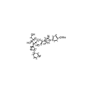 COc1ccc(N2C[C@@H]3C[C@H]2CN3C(=O)C[C@@H]2O[C@H](CO)[C@H](O)[C@H](n3cc(-c4cccc(F)c4)nn3)[C@H]2O)cc1